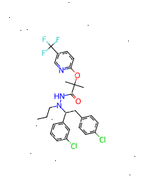 CCCN(NC(=O)C(C)(C)Oc1ccc(C(F)(F)F)cn1)C(Cc1ccc(Cl)cc1)c1cccc(Cl)c1